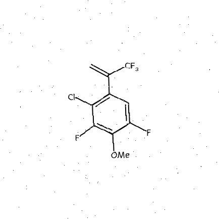 C=C(c1cc(F)c(OC)c(F)c1Cl)C(F)(F)F